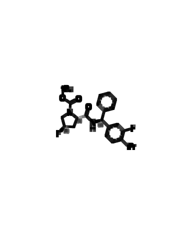 CC(C)c1ccc([C@@H](NC(=O)[C@@H]2C[C@@H](F)CN2C(=O)OC(C)(C)C)c2ccccc2)cc1F